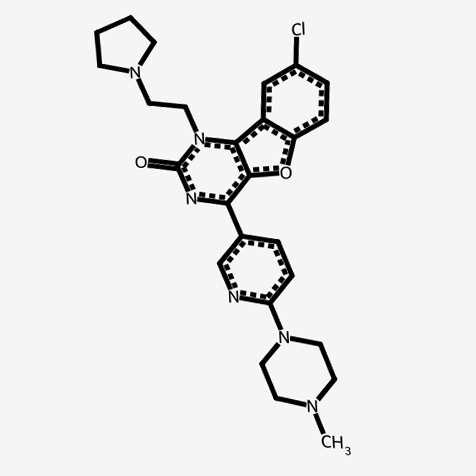 CN1CCN(c2ccc(-c3nc(=O)n(CCN4CCCC4)c4c3oc3ccc(Cl)cc34)cn2)CC1